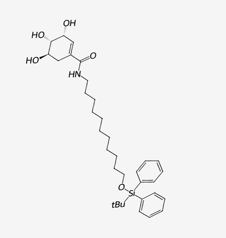 CC(C)(C)[Si](OCCCCCCCCCCCNC(=O)C1=C[C@@H](O)[C@@H](O)[C@H](O)C1)(c1ccccc1)c1ccccc1